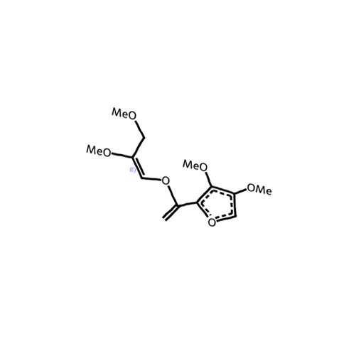 C=C(O/C=C(\COC)OC)c1occ(OC)c1OC